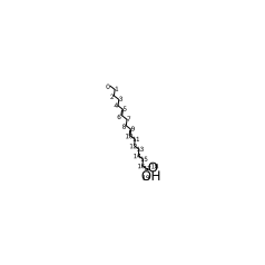 CCCCCC=CCCC=CCCCCCCC(=O)O